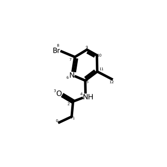 C[CH]C(=O)Nc1nc(Br)ccc1C